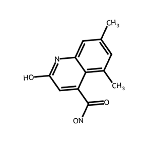 Cc1cc(C)c2c(C(=O)N=O)cc(O)nc2c1